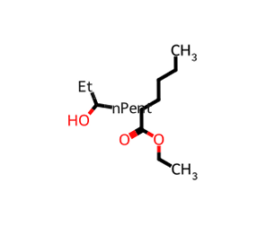 CCCCCC(=O)OCC.CCCCCC(O)CC